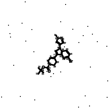 Cn1cc(-n2cc(C3=CCN(C(=O)OC(C)(C)C)CC3)c3nc(Br)ccc32)cn1